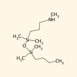 CCCC[Si](C)(C)O[Si](C)(C)CCCNC